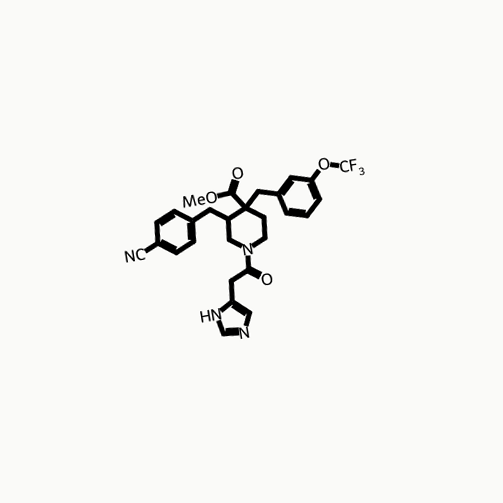 COC(=O)C1(Cc2cccc(OC(F)(F)F)c2)CCN(C(=O)Cc2cnc[nH]2)CC1Cc1ccc(C#N)cc1